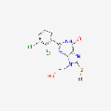 CCSc1nc2c(=O)[nH]c(-c3cccc(Cl)c3Cl)nc2n1CCO